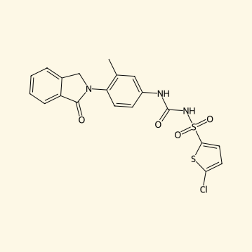 Cc1cc(NC(=O)NS(=O)(=O)c2ccc(Cl)s2)ccc1N1Cc2ccccc2C1=O